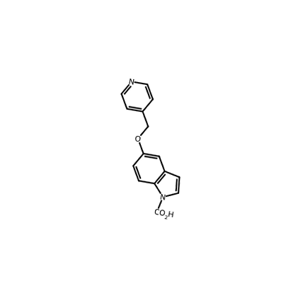 O=C(O)n1ccc2cc(OCc3ccncc3)ccc21